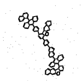 c1ccc2cc3c(cc2c1)oc1cccc(-c2c4ccccc4c(-c4ccc5cc(-c6ccc(-c7ccc(-c8ccc(-c9c%10ccccc%10c(-c%10cccc%11ccccc%10%11)c%10ccccc9%10)cc8)c8c7oc7cc9ccccc9cc78)cc6)ccc5c4)c4ccccc24)c13